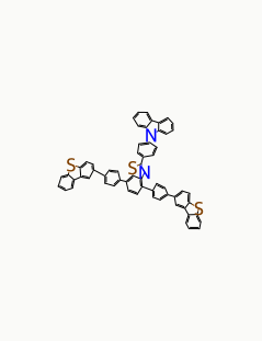 c1ccc2c(c1)sc1ccc(-c3ccc(-c4ccc(-c5ccc(-c6ccc7sc8ccccc8c7c6)cc5)c5sc(-c6ccc(-n7c8ccccc8c8ccccc87)cc6)nc45)cc3)cc12